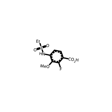 CCS(=O)(=O)Nc1ccc(C(=O)O)c(F)c1OC